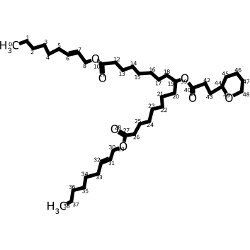 CCCCCC/C=C/COC(=O)CCCCCCCC(CCCCCCCC(=O)OC/C=C/CCCCCC)OC(=O)CCC1CCCCO1